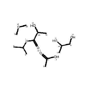 CC(=O)O.CC(C)OC(=O)C(C)O.CC(O)CO.COC